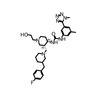 Cc1cc(NC(=O)N[C@@H]2CCN(CCO)C[C@H]2CN2CCCC(Cc3ccc(F)cc3)C2)cc(-c2nnnn2C)c1